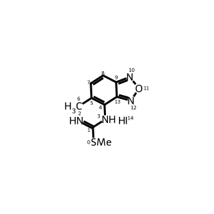 CSC(=N)Nc1c(C)ccc2nonc12.I